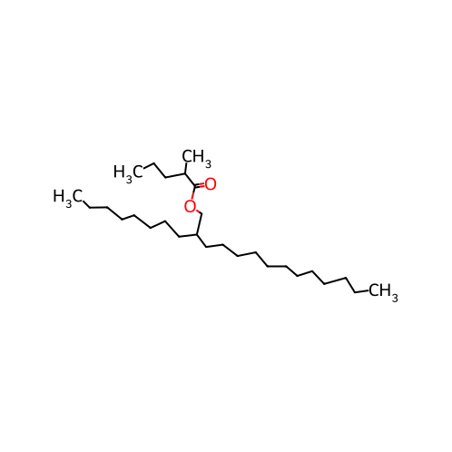 CCCCCCCCCCCCC(CCCCCCCC)COC(=O)C(C)CCC